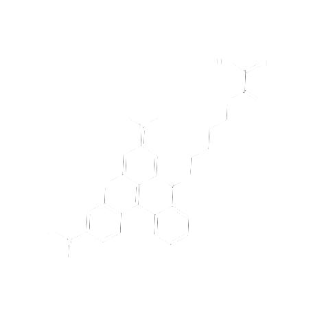 C=C(C)C(=O)OCCCCOC(=O)c1ccccc1-c1c2ccc(=[N+](CC)CC)cc-2oc2cc(N(CC)CC)ccc12